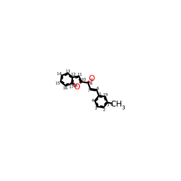 Cc1cccc(/C=C/C(=O)c2cc3ccccc3o2)c1